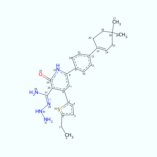 CCc1ccc(-c2cc(-c3ccc(C4=CCC(C)(C)CC4)cc3)[nH]c(=O)c2/C(N)=N/NN)s1